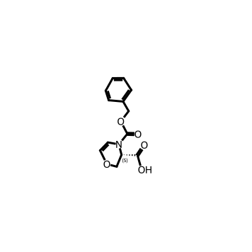 O=C(O)[C@@H]1COC=CN1C(=O)OCc1ccccc1